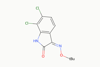 CC(C)(C)ON=C1C(=O)Nc2c1ccc(Cl)c2Cl